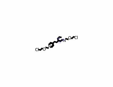 C\C=C/C(=C\C=N\CCOCCCl)CCc1cc[n+](CCOCCCl)cc1